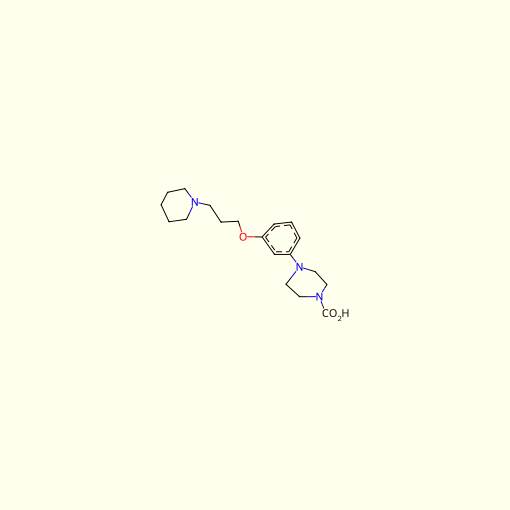 O=C(O)N1CCN(c2cccc(OCCCN3CCCCC3)c2)CC1